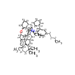 CCCCc1ccc(N2C3=C(c4cc5c(cc4C3)C(C)(C)CCC5(C)C)c3c4cccc3-c3cc(C)cc2c3-c2ccccc2O4)c(-c2ccccc2)c1